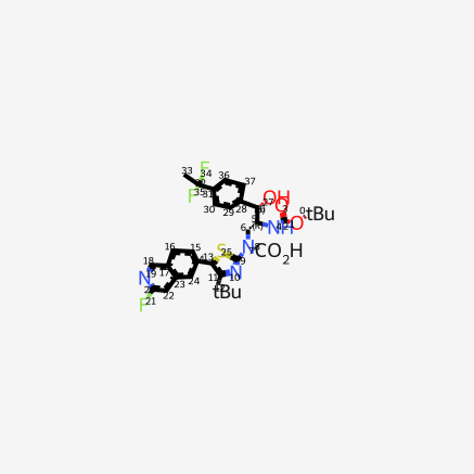 CC(C)(C)OC(=O)N[C@H](CN(C(=O)O)c1nc(C(C)(C)C)c(-c2ccc3cnc(F)cc3c2)s1)[C@@H](O)c1ccc(C(C)(F)F)cc1